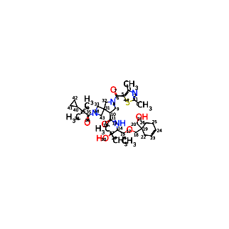 Cc1nc(C)c(C(=O)N2C[C@@H](C(=O)NC([C@@H](C)OCC3(CO)CC=CCC3)C(C)(C)O)C3(C2)CN(C(=O)C(C)(C)C2CC2)C3)s1